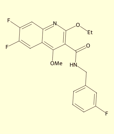 CCOc1nc2cc(F)c(F)cc2c(OC)c1C(=O)NCc1cccc(F)c1